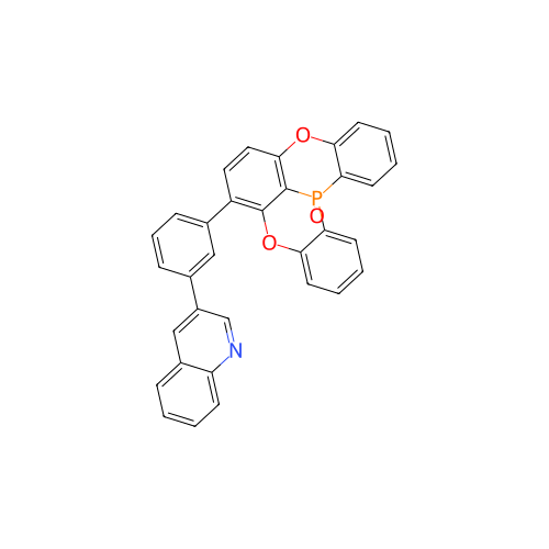 O=P12c3ccccc3Oc3ccc(-c4cccc(-c5cnc6ccccc6c5)c4)c(c31)Oc1ccccc12